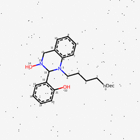 CCCCCCCCCCCCCCN1c2ccccc2CN(O)C1c1ccccc1O